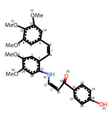 COc1cc(/C=C\c2cc(OC)c(OC)c(OC)c2)c(N/C=C\C(=O)c2ccc(O)cc2)cc1OC